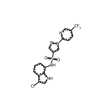 O=S(=O)(Nc1cccc2c(Cl)c[nH]c12)c1cnn(-c2ccc(C(F)(F)F)cn2)c1